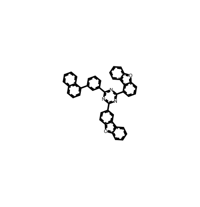 c1cc(-c2nc(-c3ccc4oc5ccccc5c4c3)nc(-c3cccc4oc5ccccc5c34)n2)cc(-c2cccc3ccccc23)c1